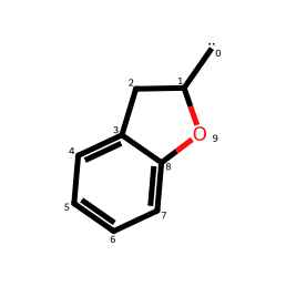 [CH]C1Cc2ccccc2O1